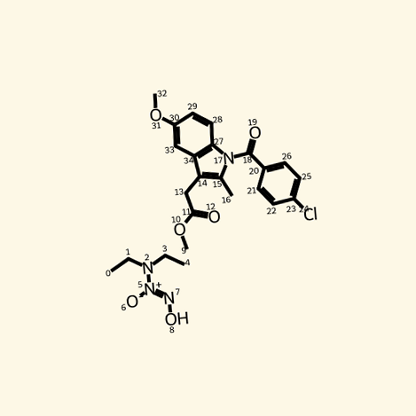 CCN(CC)[N+]([O-])=NO.COC(=O)Cc1c(C)n(C(=O)c2ccc(Cl)cc2)c2ccc(OC)cc12